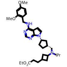 CCOC(=O)CCC1CC(N(C[C@@H]2CC[C@H](n3ccc4c(NCc5ccc(OC)cc5OC)ncnc43)C2)C(C)C)C1